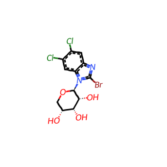 O[C@@H]1[C@H](O)[C@H](O)CO[C@H]1n1c(Br)nc2cc(Cl)c(Cl)cc21